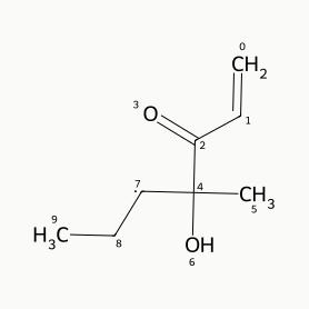 C=CC(=O)C(C)(O)[CH]CC